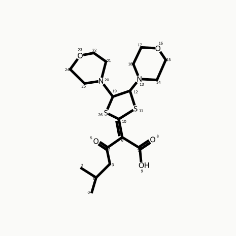 CC(C)CC(=O)C(C(=O)O)=C1SC(N2CCOCC2)C(N2CCOCC2)S1